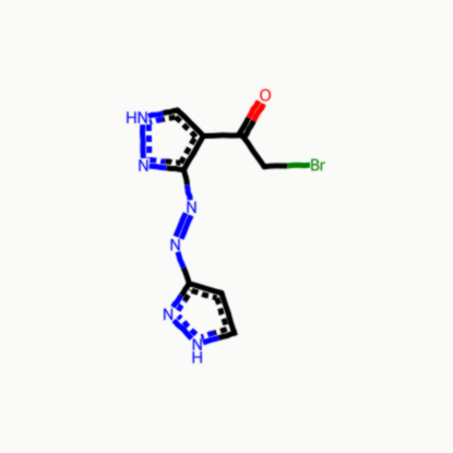 O=C(CBr)c1c[nH]nc1N=Nc1cc[nH]n1